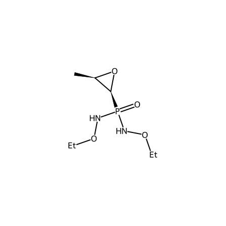 CCONP(=O)(NOCC)[C@@H]1O[C@@H]1C